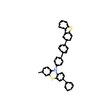 Cc1ccc2c(c1)Sc1cc(-c3ccccc3)ccc1N2c1ccc(-c2ccc(-c3ccc4sc5ccccc5c4c3)cc2)cc1